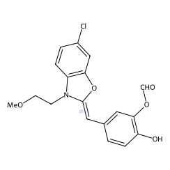 COCCN1/C(=C/c2ccc(O)c(OC=O)c2)Oc2cc(Cl)ccc21